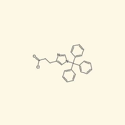 O=C(Cl)CCc1cn(C(c2ccccc2)(c2ccccc2)c2ccccc2)cn1